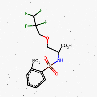 O=C(O)C(COCC(F)(F)C(F)F)NS(=O)(=O)c1ccccc1[N+](=O)[O-]